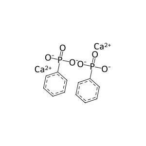 O=P([O-])([O-])c1ccccc1.O=P([O-])([O-])c1ccccc1.[Ca+2].[Ca+2]